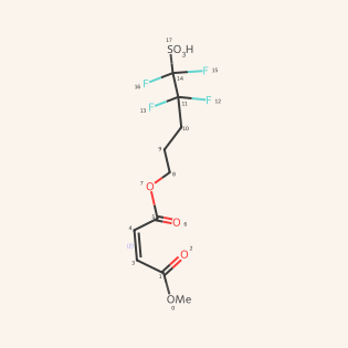 COC(=O)/C=C\C(=O)OCCCC(F)(F)C(F)(F)S(=O)(=O)O